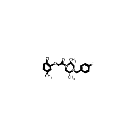 Cc1ccc(Cl)c(OCC(=O)N2C[C@@H](C)N(Cc3ccc(F)cc3)C[C@@H]2C)c1